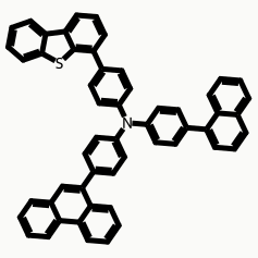 c1ccc2c(-c3ccc(N(c4ccc(-c5cc6ccccc6c6ccccc56)cc4)c4ccc(-c5cccc6c5sc5ccccc56)cc4)cc3)cccc2c1